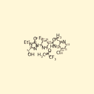 CCn1c(CO)nn(-c2nc(O[C@@H](C)C(F)(F)F)c(C(=O)Nc3c(Cl)ccnc3C)cc2F)c1=O